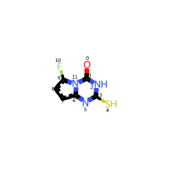 O=c1[nH]c(S)nc2ccc(F)n12